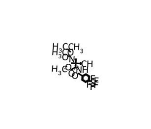 C#CC1([C@H](NC(=O)c2ccc(S(F)(F)(F)(F)F)cc2)C(=O)OC)CN(C(=O)OC(C)(C)C)C1